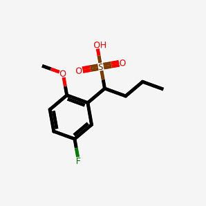 CCCC(c1cc(F)ccc1OC)S(=O)(=O)O